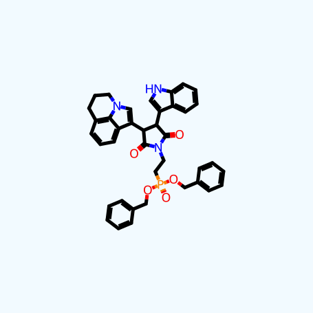 O=C1C(c2c[nH]c3ccccc23)C(c2cn3c4c(cccc24)CCC3)C(=O)N1CCP(=O)(OCc1ccccc1)OCc1ccccc1